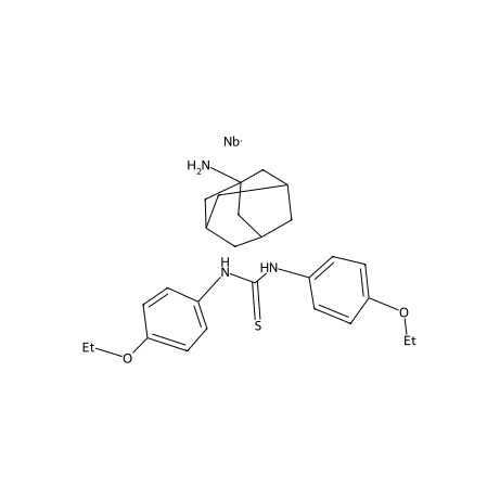 CCOc1ccc(NC(=S)Nc2ccc(OCC)cc2)cc1.NC12CC3CC(CC(C3)C1)C2.[Nb]